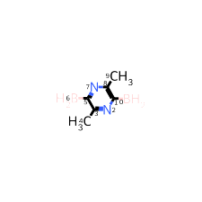 Bc1nc(C)c(B)nc1C